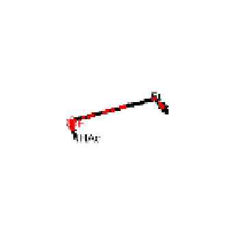 C=C=C=C=C=C=C=C=C(C#CC#CC#CC#CC#CC#CC#CC#CC#CC#CC#CC#CC#CC#CC#CC#CC#CC#COP(=O)(O)OCCCCCCNC(C)=O)CC